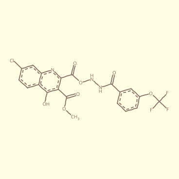 COC(=O)c1c(C(=O)ONNC(=O)c2cccc(OC(F)(F)F)c2)nc2cc(Cl)ccc2c1O